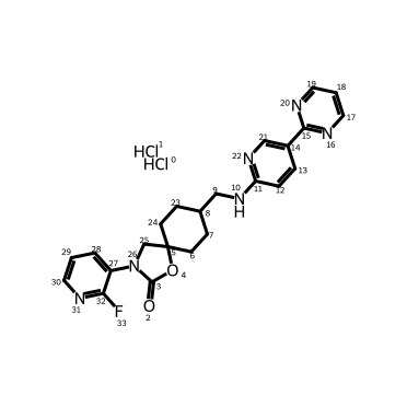 Cl.Cl.O=C1OC2(CCC(CNc3ccc(-c4ncccn4)cn3)CC2)CN1c1cccnc1F